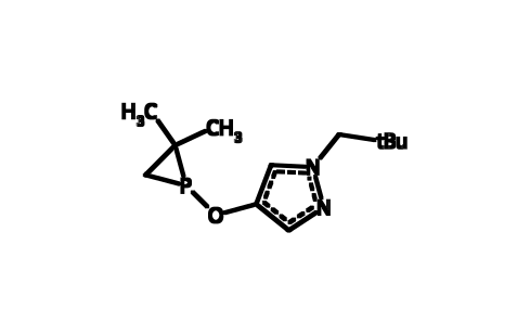 CC(C)(C)Cn1cc(OP2CC2(C)C)cn1